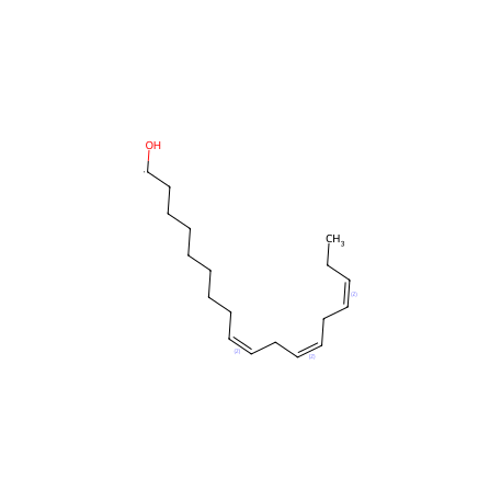 CC/C=C\C/C=C\C/C=C\CCCCCCC[CH]O